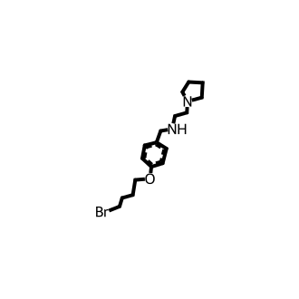 BrCCCCOc1ccc(CNCCN2CCCC2)cc1